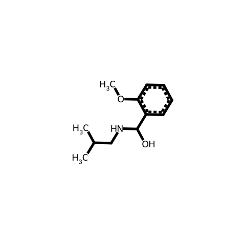 COc1ccccc1C(O)NCC(C)C